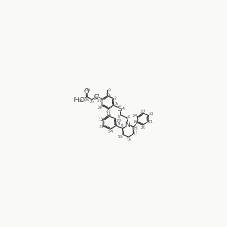 Cc1cc(SCCN2C(c3ccccc3)CCCC2c2ccccc2)ccc1OCC(=O)O